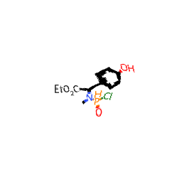 CCOC(=O)C(c1ccc(O)cc1)N(C)[PH](=O)Cl